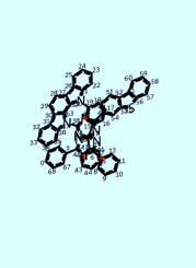 c1ccc(-c2nc(-c3ccccc3)nc(-c3cccc(-n4c5ccccc5c5ccc6c7ccccc7n(-c7nc(-c8ccccc8)nc(-c8ccc9c(c8)sc8ccccc89)n7)c6c54)c3)n2)cc1